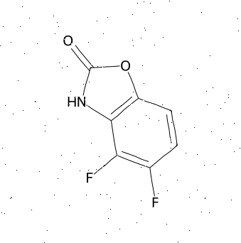 O=c1[nH]c2c(F)c(F)ccc2o1